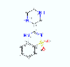 O=S1(=O)N=C(C2CNCCN2)Nc2ccccc21